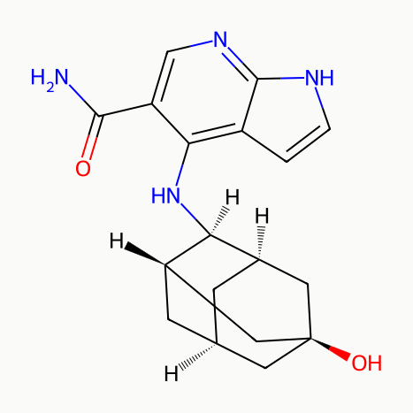 NC(=O)c1cnc2[nH]ccc2c1N[C@H]1[C@@H]2C[C@@H]3C[C@H]1C[C@@](O)(C3)C2